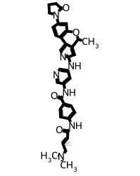 CC1Oc2cc(N3CCCC3=O)ccc2-c2cnc(Nc3cncc(NC(=O)c4ccc(NC(=O)/C=C/CN(C)C)cc4)c3)cc21